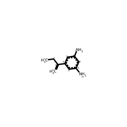 C=C(CC)c1cc(N)cc(N)c1